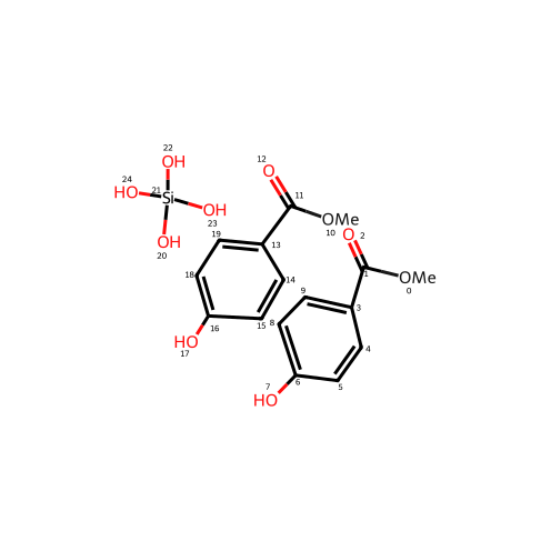 COC(=O)c1ccc(O)cc1.COC(=O)c1ccc(O)cc1.O[Si](O)(O)O